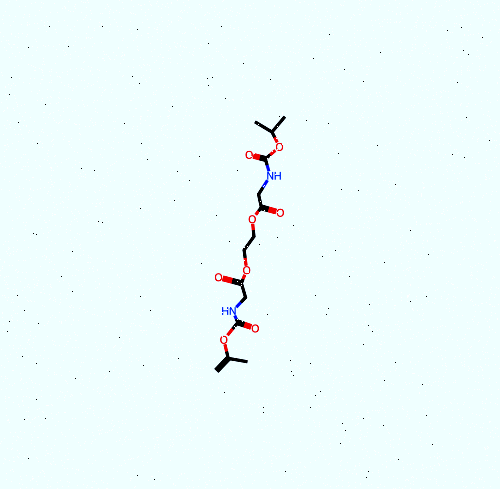 C=C(C)OC(=O)NCC(=O)OCCOC(=O)CNC(=O)OC(C)C